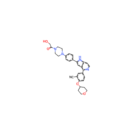 N#Cc1cc(-c2nccc3[nH]c(-c4ccc(N5CCN(C(=O)CO)CC5)cc4)cc23)ccc1OC1CCOCC1